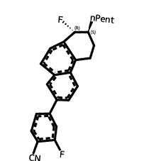 CCCCC[C@H]1CCc2c(ccc3cc(-c4ccc(C#N)c(F)c4)ccc23)[C@@H]1F